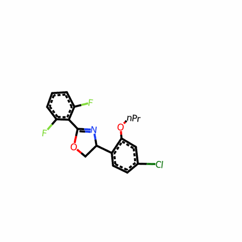 CCCOc1cc(Cl)ccc1C1COC(c2c(F)cccc2F)=N1